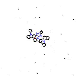 c1ccc(-n2c3ccccc3c3ccc(-c4nc5ccccc5nc4-n4c5ccccc5c5cc6c7ccccc7n7c8c9ccccc9ccc8c(c54)c67)cc32)cc1